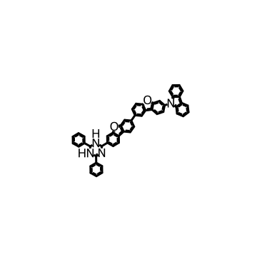 c1ccc(C2=NC(c3ccc4c(c3)oc3cc(-c5ccc6oc7cc(-n8c9ccccc9c9ccccc98)ccc7c6c5)ccc34)NC(c3ccccc3)N2)cc1